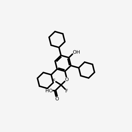 O=C(O)C(F)(F)Oc1c(C2CCCCC2)cc(C2CCCCC2)c(O)c1C1CCCCC1